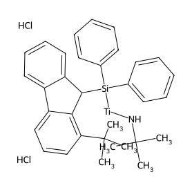 CC(C)(C)[NH][Ti][Si](c1ccccc1)(c1ccccc1)C1c2ccccc2-c2cccc(C(C)(C)C)c21.Cl.Cl